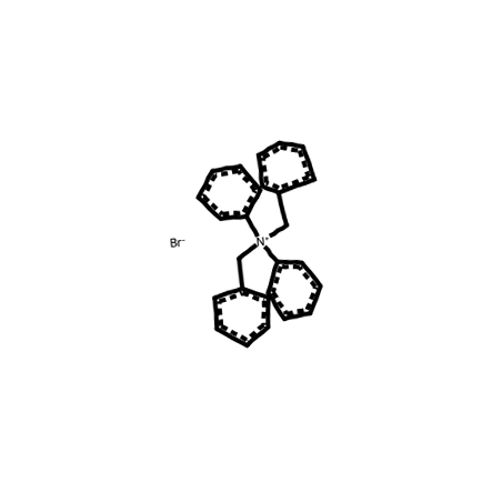 [Br-].c1ccc(C[N+](Cc2ccccc2)(c2ccccc2)c2ccccc2)cc1